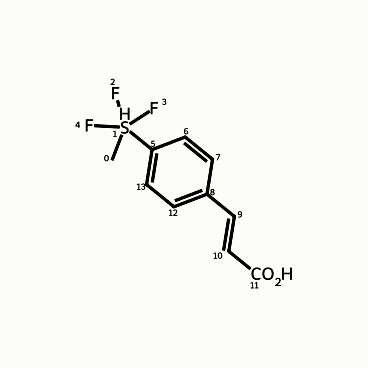 C[SH](F)(F)(F)c1ccc(C=CC(=O)O)cc1